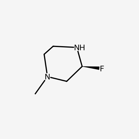 CN1CCN[C@@H](F)C1